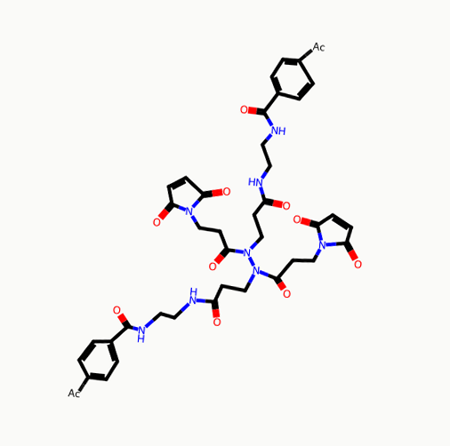 CC(=O)c1ccc(C(=O)NCCNC(=O)CCN(C(=O)CCN2C(=O)C=CC2=O)N(CCC(=O)NCCNC(=O)c2ccc(C(C)=O)cc2)C(=O)CCN2C(=O)C=CC2=O)cc1